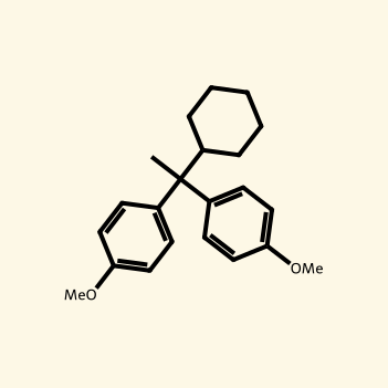 COc1ccc(C(C)(c2ccc(OC)cc2)C2CCCCC2)cc1